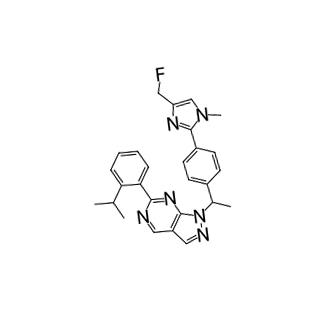 CC(C)c1ccccc1-c1ncc2cnn(C(C)c3ccc(-c4nc(CF)cn4C)cc3)c2n1